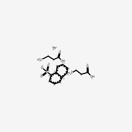 CCCC(=O)O.CCCC(=O)O.O=S(=O)([O-])c1cccc2ccccc12.[Na+]